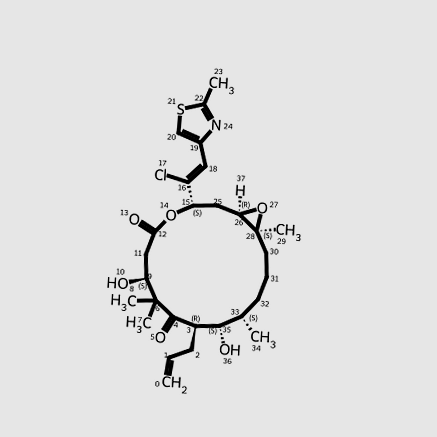 C=CC[C@H]1C(=O)C(C)(C)[C@@H](O)CC(=O)O[C@H](C(Cl)=Cc2csc(C)n2)C[C@H]2O[C@@]2(C)CCC[C@H](C)[C@@H]1O